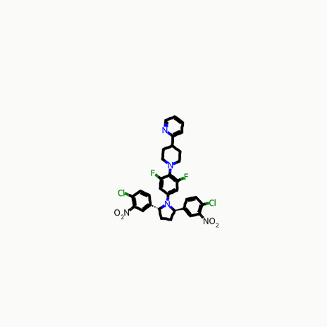 O=[N+]([O-])c1cc([C@H]2CC[C@H](c3ccc(Cl)c([N+](=O)[O-])c3)N2c2cc(F)c(N3CCC(c4ccccn4)CC3)c(F)c2)ccc1Cl